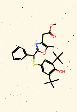 COC(=O)Cc1nc(C(Sc2cc(C(C)(C)C)c(O)c(C(C)(C)C)c2)c2ccccc2)oc1C